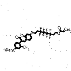 C=CC(=O)OCCC(F)(F)C(F)(F)C(F)(F)C(F)(F)CCSc1ccc2cc(-c3ccc(CCCCC)cc3C(F)(F)F)c(=O)oc2c1